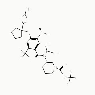 CC1OC(C2(Sc3cc(C(F)(F)F)c(C(=O)N(C(C)C)[C@@H]4CCCN(C(=O)OC(C)(C)C)C4)cc3[N+](=O)[O-])CCCC2)O1